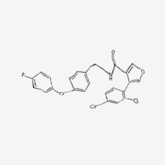 O=C(NCc1ccc(Oc2ccc(F)cc2)cc1)c1conc1-c1ccc(Cl)cc1Cl